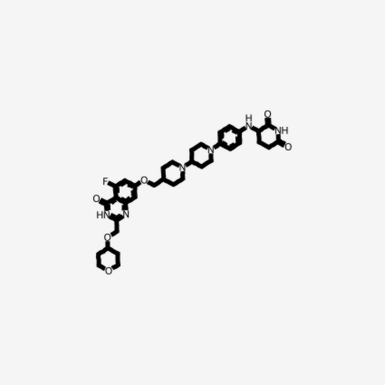 O=C1CCC(Nc2ccc(N3CCC(N4CCC(COc5cc(F)c6c(=O)[nH]c(COC7CCOCC7)nc6c5)CC4)CC3)cc2)C(=O)N1